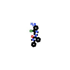 CN(Cc1ccccc1)C(=O)C(c1ccccc1)N(C)Cc1c(Cl)c2cc(N)ccc2n1C